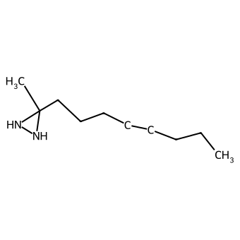 CCCCCCCCC1(C)NN1